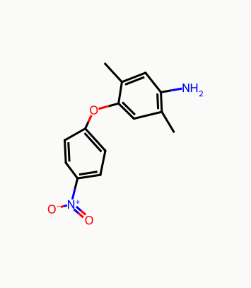 Cc1cc(Oc2ccc([N+](=O)[O-])cc2)c(C)cc1N